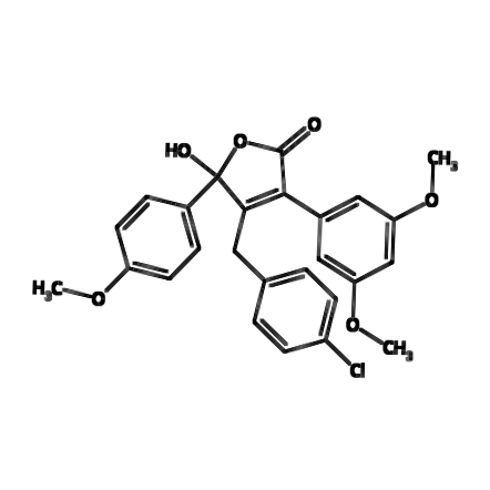 COc1ccc(C2(O)OC(=O)C(c3cc(OC)cc(OC)c3)=C2Cc2ccc(Cl)cc2)cc1